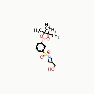 CC1(C)OB(c2cccc(S(=O)(=O)N3CC(CO)C3)c2)OC1(C)C